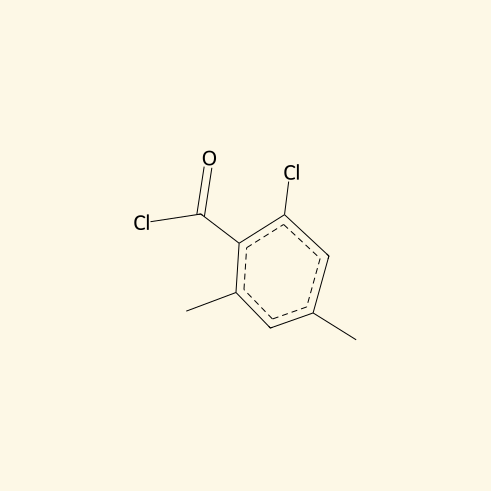 Cc1cc(C)c(C(=O)Cl)c(Cl)c1